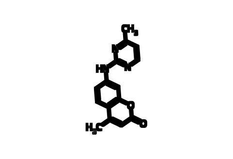 Cc1ccnc(Nc2ccc3c(C)cc(=O)oc3c2)n1